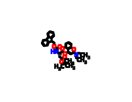 CCN(CC)C(=O)C=C(OC(=O)[C@H](CC(=O)OC(C)(C)C)NC(=O)OCC1c2ccccc2-c2ccccc21)c1ccccc1